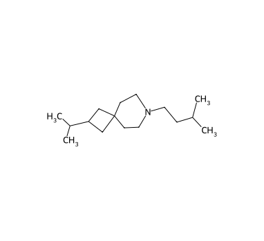 CC(C)CCN1CCC2(CC1)CC(C(C)C)C2